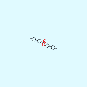 CC1CCC(c2ccc(OC(=O)C3CCC(C4CCC(C)CC4)CC3)cc2)CC1